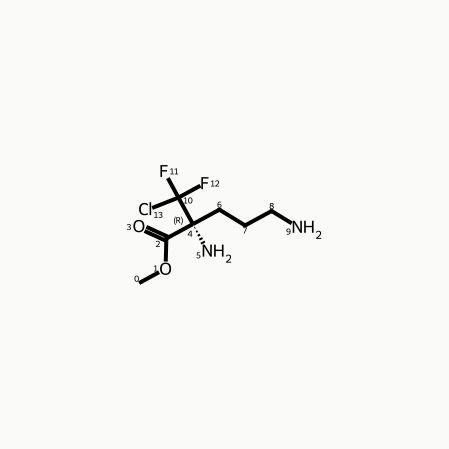 COC(=O)[C@](N)(CCCN)C(F)(F)Cl